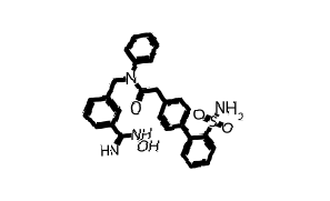 N=C(NO)c1cccc(CN(C(=O)Cc2ccc(-c3ccccc3S(N)(=O)=O)cc2)c2ccccc2)c1